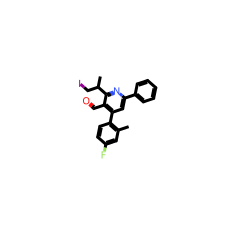 Cc1cc(F)ccc1-c1cc(-c2ccccc2)nc(C(C)CI)c1C=O